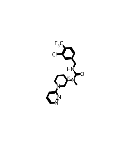 CN(C(=O)NCc1ccc(C(F)(F)F)c(Cl)c1)[C@@H]1CCCN(c2cccnn2)C1